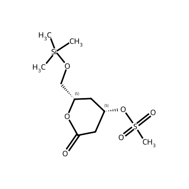 C[Si](C)(C)OC[C@@H]1C[C@H](OS(C)(=O)=O)CC(=O)O1